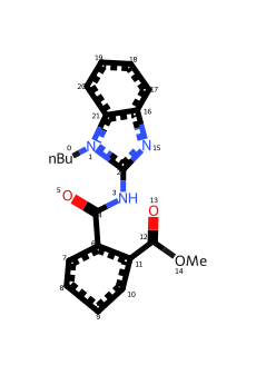 CCCCn1c(NC(=O)c2ccccc2C(=O)OC)nc2ccccc21